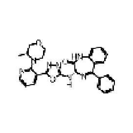 C[C@H]1COCCN1c1ncccc1-c1nnc(N[C@H]2N=C(c3ccccc3)c3ccccc3NC2=O)o1